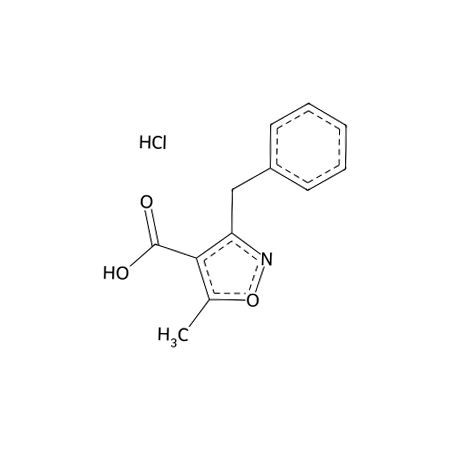 Cc1onc(Cc2ccccc2)c1C(=O)O.Cl